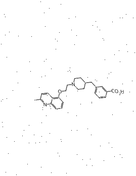 Cc1ccc2c(OCCN3CCC(Cc4cccc(C(=O)O)c4)CC3)cccc2n1